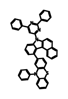 c1ccc(-c2cc(-n3c4cccc(-c5ccc6c(c5)N(c5ccccc5)c5ccccc5S6)c4c4c5ccccc5ccc43)nc(-c3ccccc3)n2)cc1